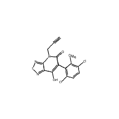 C#CCn1c(=O)c(-c2c(Cl)ccc(Cl)c2OC)c(O)c2nsnc21